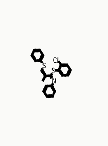 CC(=CSc1ccccc1)C(=Nc1ccccc1)Sc1ccccc1Cl